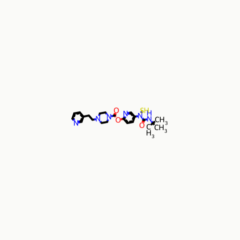 CC(C)(C)NC(=O)N(S)c1ccc(OC(=O)N2CCN(CCc3cccnc3)CC2)nc1